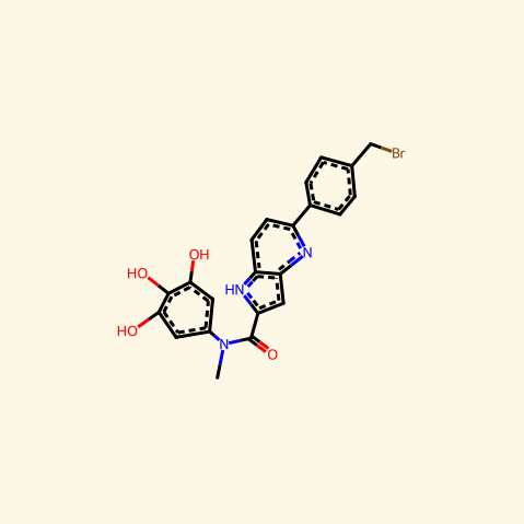 CN(C(=O)c1cc2nc(-c3ccc(CBr)cc3)ccc2[nH]1)c1cc(O)c(O)c(O)c1